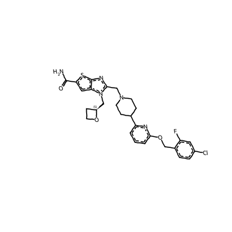 NC(=O)c1cc2c(nc(CN3CCC(c4cccc(OCc5ccc(Cl)cc5F)n4)CC3)n2C[C@@H]2CCO2)s1